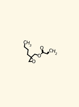 C=CC(=O)OCC1(CCCC)CO1